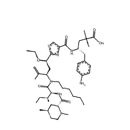 C=C(C)[C@@H](C[C@@H](OCC)c1nc(C(=O)N[C@@H](Cc2ccc(N)cc2)CC(C)(C)C(=O)O)cs1)N(CCCCCC)C(=O)[C@@H](NC(=O)[C@H]1C[C@H](C)CCN1C)[C@@H](C)CC